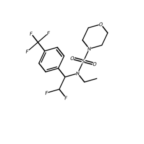 CCN(C(c1ccc(C(F)(F)F)cc1)C(F)F)S(=O)(=O)N1CCOCC1